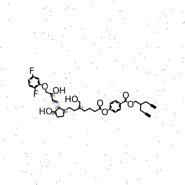 C#CCC(CC#C)COC(=O)c1ccc(OC(=O)CCC[C@H](CO)CC[C@H]2CC[C@@H](O)[C@@H]2/C=C/[C@@H](O)COc2cc(F)ccc2F)cc1